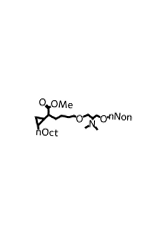 CCCCCCCCCOCC(COCCCCC(C(=O)OC)C1CC1CCCCCCCC)N(C)C